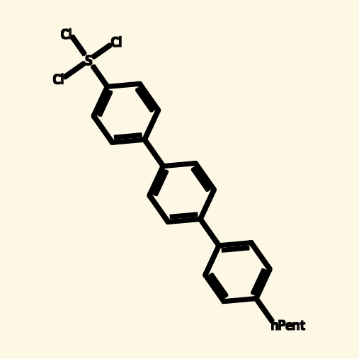 CCCCCc1ccc(-c2ccc(-c3ccc(S(Cl)(Cl)Cl)cc3)cc2)cc1